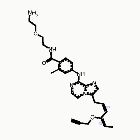 C#CCOC(/C=C\Cc1cnc2c(Nc3ccc(C(=O)NCCOCCN)c(C)c3)nccn12)=C/C